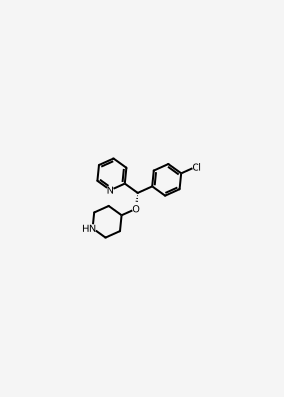 Clc1ccc([C@H](OC2CCNCC2)c2ccccn2)cc1